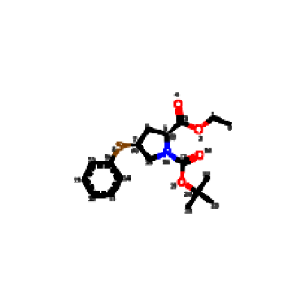 CCOC(=O)[C@@H]1C[C@H](Sc2ccccc2)CN1C(=O)OC(C)(C)C